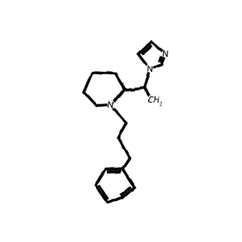 CC(C1CCCCN1CCCc1ccccc1)n1ccnc1